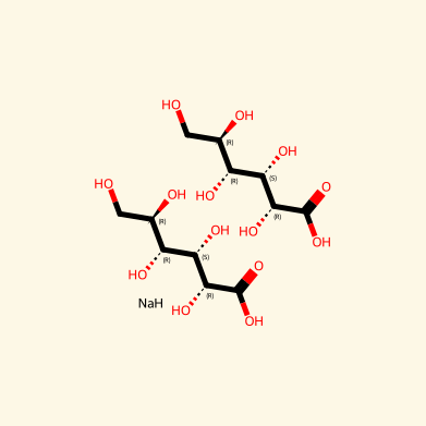 O=C(O)[C@H](O)[C@@H](O)[C@H](O)[C@H](O)CO.O=C(O)[C@H](O)[C@@H](O)[C@H](O)[C@H](O)CO.[NaH]